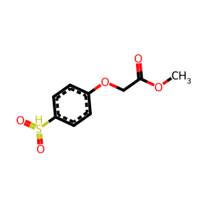 COC(=O)COc1ccc([SH](=O)=O)cc1